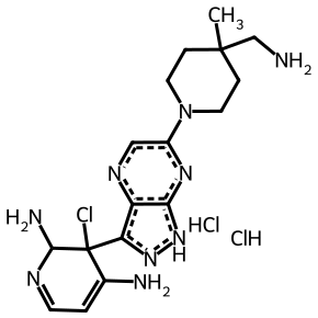 CC1(CN)CCN(c2cnc3c(C4(Cl)C(N)=CC=NC4N)n[nH]c3n2)CC1.Cl.Cl